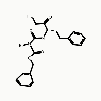 CCN(C(=O)N[C@@H](CCc1ccccc1)C(=O)CO)C(=O)OCc1ccccc1